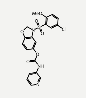 COc1ccc(Cl)cc1S(=O)(=O)N1COc2ccc(OC(=O)Nc3cccnc3)cc21